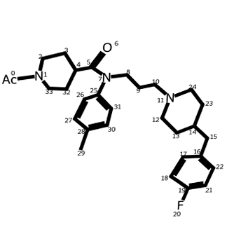 CC(=O)N1CCC(C(=O)N(CCCN2CCC(Cc3ccc(F)cc3)CC2)c2ccc(C)cc2)CC1